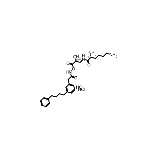 C[C@@H](CNC(=O)[C@@H](N)CCCCN)C(=O)ONC(=O)Cc1cccc(CCCCc2ccccc2)c1.Cl.Cl